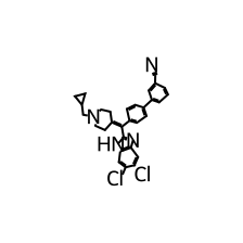 N#Cc1cccc(-c2ccc(C(=C3CCN(CC4CC4)CC3)c3nc4cc(Cl)c(Cl)cc4[nH]3)cc2)c1